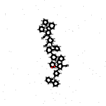 N#Cc1cc(-c2ccc(-n3c4ccccc4c4ccccc43)cc2)c(C#N)c([Si](c2ccccc2)(c2ccccc2)c2ccc(-c3cccc4c3c3ccccc3n4-c3ccc(-c4ccc([Si](c5ccccc5)(c5ccccc5)c5ccccc5)cc4C#N)cc3C#N)cc2)c1